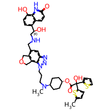 Cc1ccc(C(O)(C(=O)O[C@H]2CC[C@H](N(C)CCCn3nnc4cc(CNC[C@H](O)c5ccc(O)c6[nH]c(=O)ccc56)c5c(c43)COC5)CC2)c2cccs2)s1